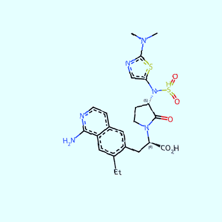 CCc1cc2c(N)nccc2cc1C[C@H](C(=O)O)N1CC[C@H](N(c2cnc(N(C)C)s2)[SH](=O)=O)C1=O